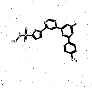 Cc1cc(-c2ccc(C(F)(F)F)cc2)nc(-c2ccnc(-c3ccc(S(=O)(=O)NC(C)(C)C)s3)c2)c1